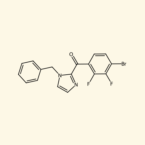 O=C(c1ccc(Br)c(F)c1F)c1nccn1Cc1ccccc1